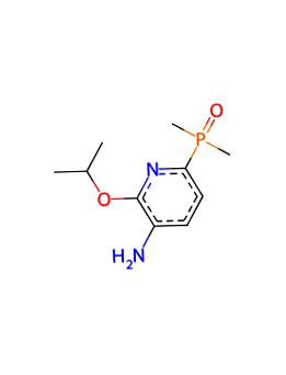 CC(C)Oc1nc(P(C)(C)=O)ccc1N